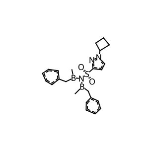 CB(Cc1ccccc1)N(B(C)Cc1ccccc1)S(=O)(=O)c1ccn(C2CCC2)n1